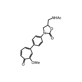 COc1cc(-c2ccc(N3CC(CNC(C)=O)OC3=O)cc2)cccc1=O